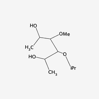 COC(C(C)O)C(OC(C)C)C(C)O